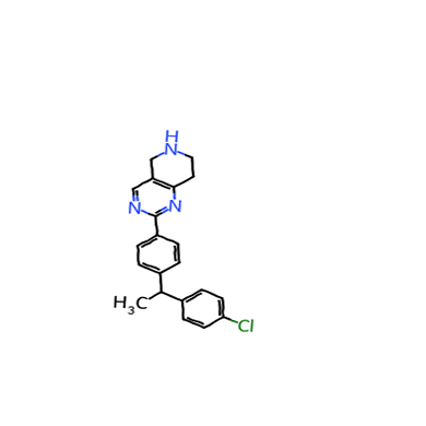 CC(c1ccc(Cl)cc1)c1ccc(-c2ncc3c(n2)CCNC3)cc1